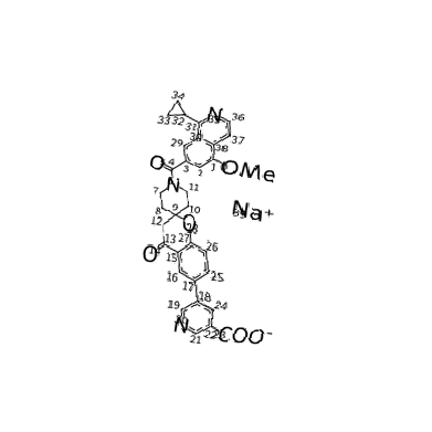 COc1cc(C(=O)N2CCC3(CC2)CC(=O)c2cc(-c4cncc(C(=O)[O-])c4)ccc2O3)cc2c(C3CC3)nccc12.[Na+]